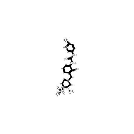 Cc1ccc(NC(=O)Nc2cccc(CN3CCN(S(N)(=O)=O)[C@@H](C)C3)c2F)cn1